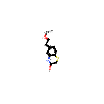 O=COCCc1ccc2c(c1)NC(=O)CS2